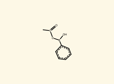 CS(=O)OB(O)c1ccccc1